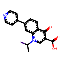 CC(I)n1cc(C(=O)O)c(=O)c2ccc(-c3ccncc3)cc21